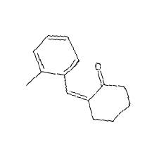 Cc1ccccc1/C=C1/CCCCC1=O